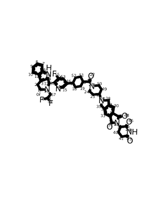 C[C@@H]1Cc2c([nH]c3ccccc23)[C@@H](c2ncc(C3CCC(C(=O)N4CCC(N5Cc6cc7c(cc6C5)C(=O)N(C5CCC(=O)NC5=O)C7=O)CC4)CC3)cc2F)N1CC(F)F